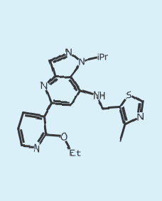 CCOc1ncccc1-c1cc(NCc2scnc2C)c2c(cnn2C(C)C)n1